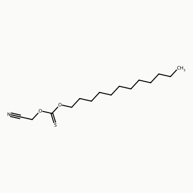 CCCCCCCCCCCCOC(=S)OCC#N